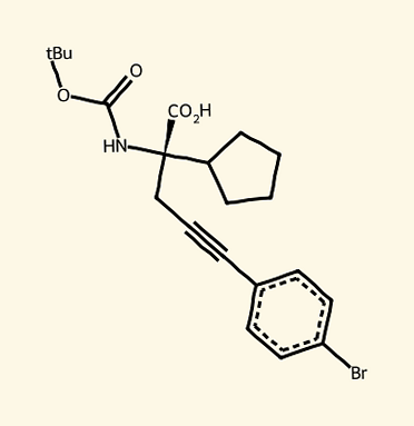 CC(C)(C)OC(=O)N[C@](CC#Cc1ccc(Br)cc1)(C(=O)O)C1CCCC1